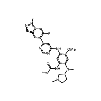 C=CC(=O)Nc1cc(Nc2cc(-c3cc4cnn(C)c4cc3F)ncn2)c(OC)cc1N(C)C1CCN(C)C1